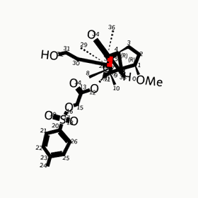 CO[C@@H]1CC[C@@]23CC[C@@H](C)[C@@](C)([C@H](OC(=O)COS(=O)(=O)c4ccc(C)cc4)C[C@@](C)(CCO)C(=O)[C@@H]2C)[C@@H]13